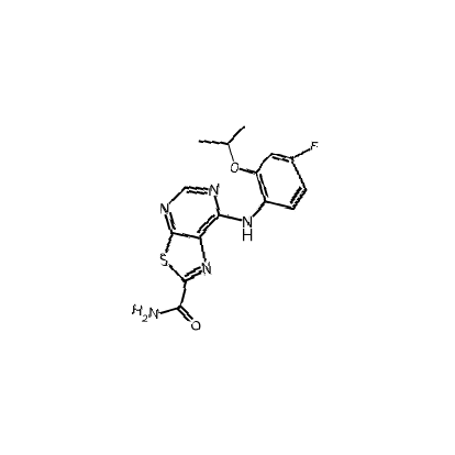 CC(C)Oc1cc(F)ccc1Nc1ncnc2sc(C(N)=O)nc12